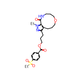 CCn1nc(CCCOC(=O)c2ccc(S(=O)(=O)CC)cc2)c2c1C(=O)NCCCOCCC2